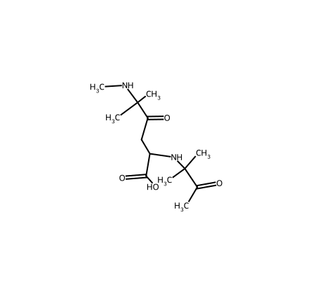 CNC(C)(C)C(=O)CC(NC(C)(C)C(C)=O)C(=O)O